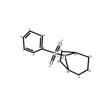 O=S(=O)(c1ccccc1)N1C2C[CH]CC1CC2